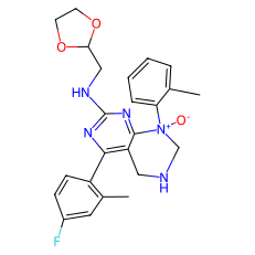 Cc1cc(F)ccc1-c1nc(NCC2OCCO2)nc2c1CNC[N+]2([O-])c1ccccc1C